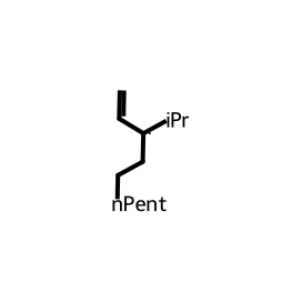 C=C[C](CCCCCCC)C(C)C